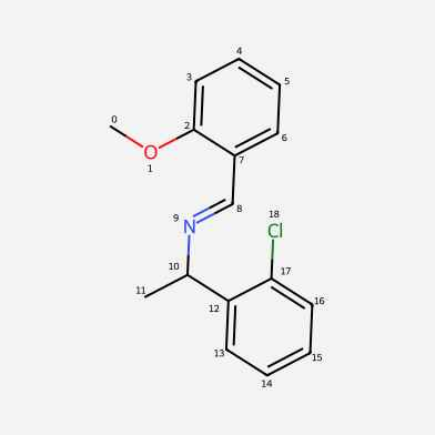 COc1ccccc1C=NC(C)c1ccccc1Cl